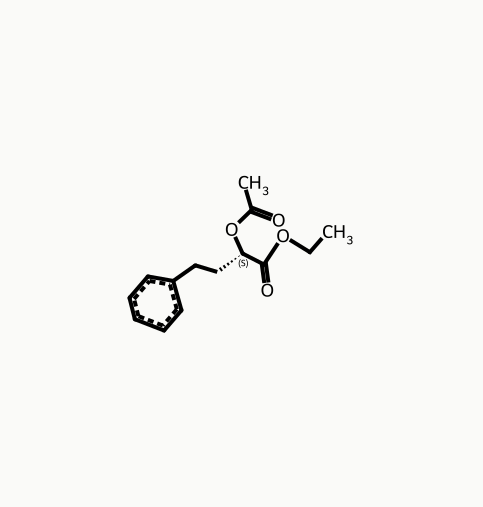 CCOC(=O)[C@H](CCc1ccccc1)OC(C)=O